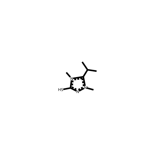 CC(C)c1n(C)c(S)n[n+]1C